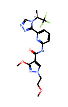 COCCn1cc(C(=O)Nc2cccc(-c3nncn3[C@@H](C)C(F)(F)F)n2)c(OC)n1